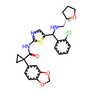 O=C(Nc1ncc(C(NC[C@@H]2CCCO2)c2ccccc2Cl)s1)C1(c2ccc3c(c2)OCO3)CC1